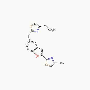 CCOC(=O)Cc1csc(Cc2ccc3oc(-c4nc(C(C)(C)C)cs4)cc3c2)n1